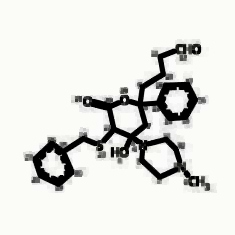 CN1CCN(C2(O)CC(CCCC=O)(c3ccccc3)OC(=O)C2SCc2ccccc2)CC1